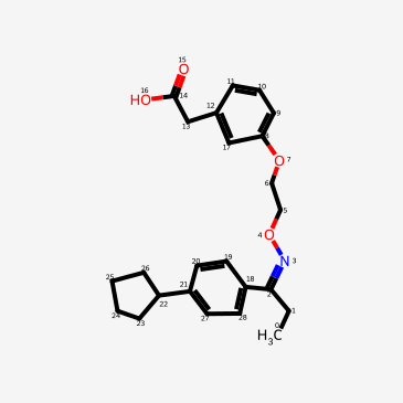 CCC(=NOCCOc1cccc(CC(=O)O)c1)c1ccc(C2CCCC2)cc1